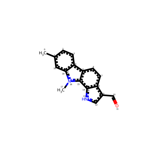 Cc1ccc2c3ccc4c(C=O)c[nH]c4c3n(C)c2c1